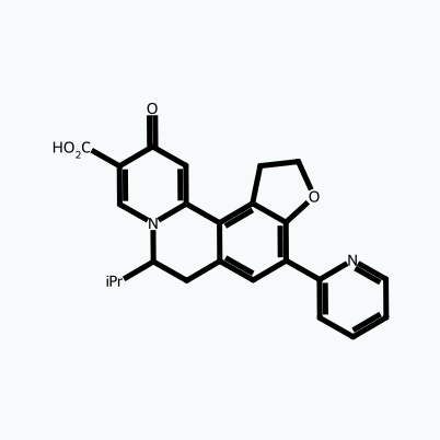 CC(C)C1Cc2cc(-c3ccccn3)c3c(c2-c2cc(=O)c(C(=O)O)cn21)CCO3